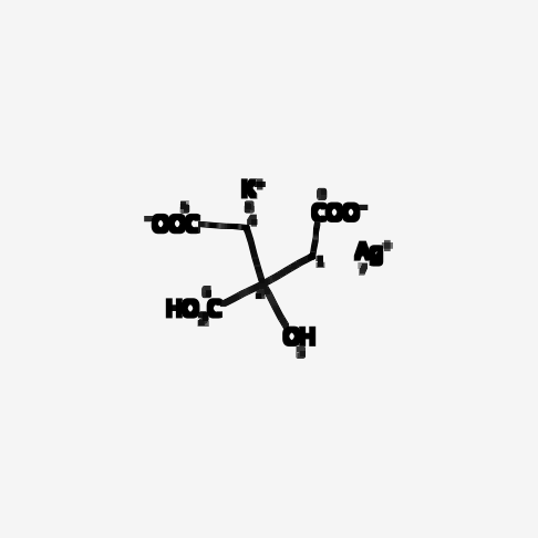 O=C([O-])CC(O)(CC(=O)[O-])C(=O)O.[Ag+].[K+]